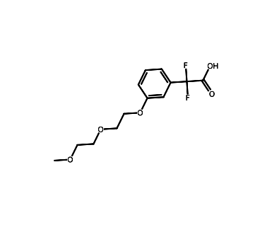 COCCOCCOc1cccc(C(F)(F)C(=O)O)c1